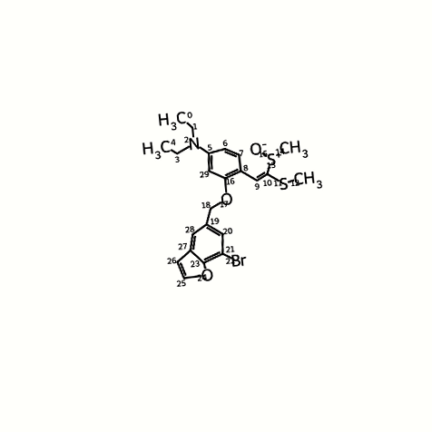 CCN(CC)c1ccc(C=C(SC)[S+](C)[O-])c(OCc2cc(Br)c3occc3c2)c1